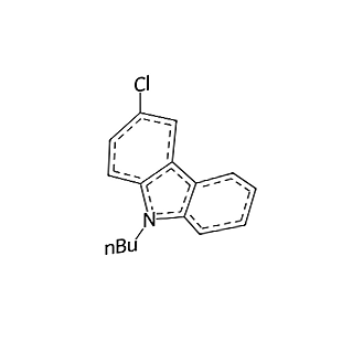 CCCCn1c2ccccc2c2cc(Cl)ccc21